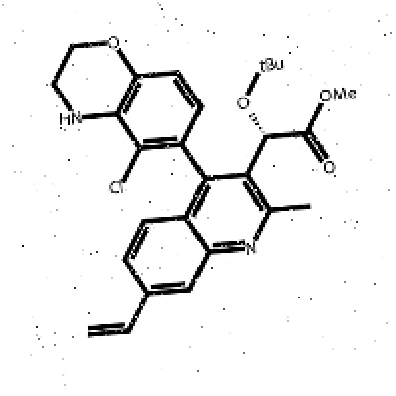 C=Cc1ccc2c(-c3ccc4c(c3Cl)NCCO4)c([C@H](OC(C)(C)C)C(=O)OC)c(C)nc2c1